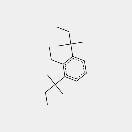 C[CH]c1c(C(C)(C)CC)cccc1C(C)(C)CC